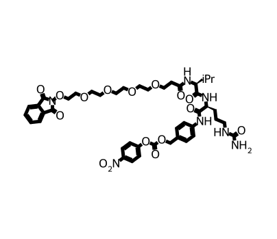 CC(C)[C@H](NC(=O)CCOCCOCCOCCOCCON1C(=O)c2ccccc2C1=O)C(=O)N[C@@H](CCCNC(N)=O)C(=O)Nc1ccc(COC(=O)Oc2ccc([N+](=O)[O-])cc2)cc1